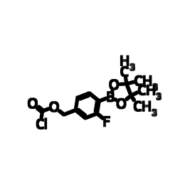 CC1(C)OB(c2ccc(COC(=O)Cl)cc2F)OC1(C)C